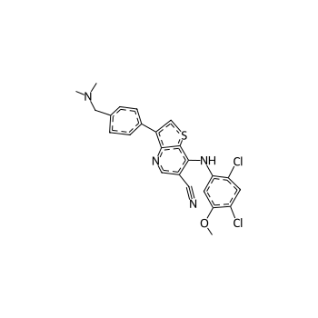 COc1cc(Nc2c(C#N)cnc3c(-c4ccc(CN(C)C)cc4)csc23)c(Cl)cc1Cl